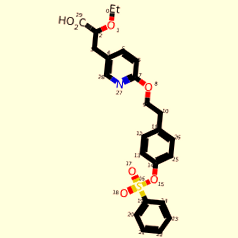 CCOC(Cc1ccc(OCCc2ccc(OS(=O)(=O)c3ccccc3)cc2)nc1)C(=O)O